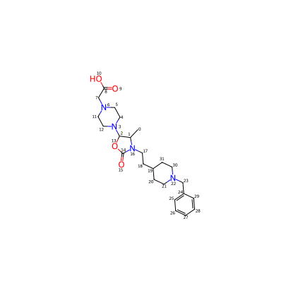 CC1C(N2CCN(CC(=O)O)CC2)OC(=O)N1CCC1CCN(Cc2ccccc2)CC1